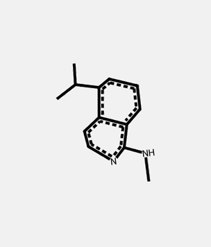 CNc1nccc2c(C(C)C)cccc12